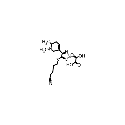 CC1CC=C(c2nsnc2SCCCCC#N)CN1C.O=C(O)C(=O)O